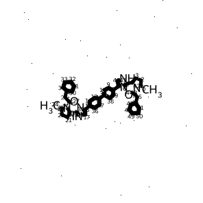 CC1CCC(c2nc(-c3ccc(-c4ccc(-c5c[nH]c([C@@H]6CC[C@H](C)N6C(=O)[CH]c6ccccc6)n5)cc4)cc3)c[nH]2)N1C(=O)[CH]c1ccccc1